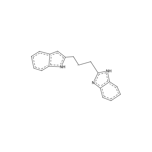 [CH](Cc1cc2ccccc2[nH]1)Cc1nc2ccccc2[nH]1